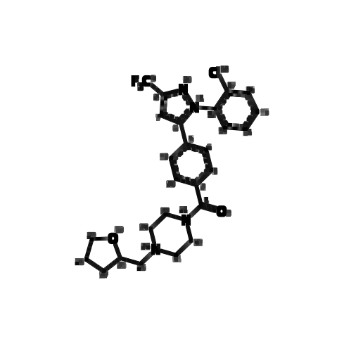 O=C(c1ccc(-c2cc(C(F)(F)F)nn2-c2ccccc2Cl)cc1)N1CCN(CC2CCCO2)CC1